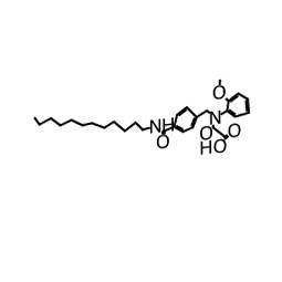 CCCCCCCCCCCCNC(=O)c1ccc(CN(C(=O)C(=O)O)c2ccccc2OC)cc1